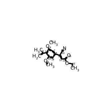 C=C(C)c1c(OC)cc(C(C#N)=CC(=O)OCC)cc1OC